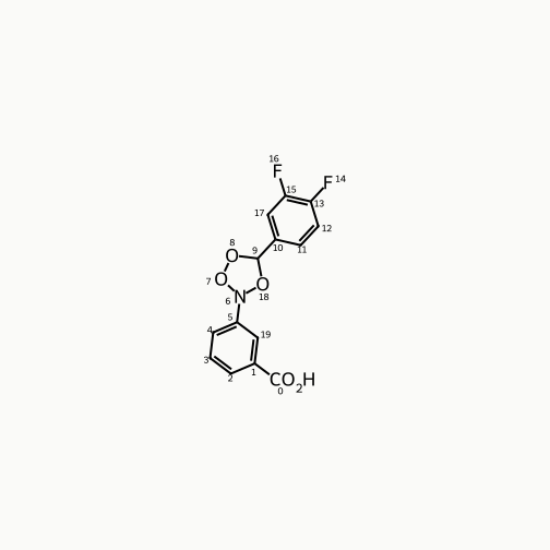 O=C(O)c1cccc(N2OOC(c3ccc(F)c(F)c3)O2)c1